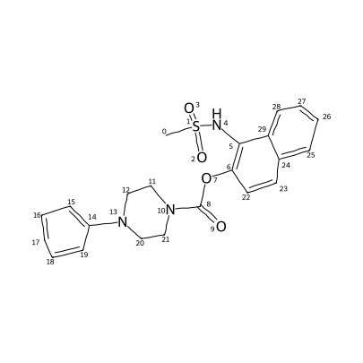 CS(=O)(=O)Nc1c(OC(=O)N2CCN(c3ccccc3)CC2)ccc2ccccc12